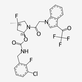 C[C@@]1(F)C[C@H](OC(=O)NCc2cccc(Cl)c2F)N(C(=O)Cn2cc(C(=O)C(F)(F)F)c3ccccc32)C1